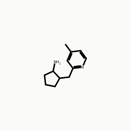 Cc1ccnc(CC2CCCC2N)c1